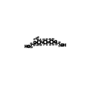 CC(C)c1cc(-c2ccc(-c3ccc(OCCCO)cc3)cc2)ccc1OCCCO